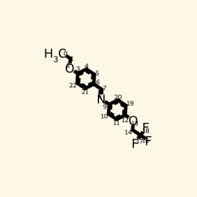 CCOc1ccc(C=Nc2ccc(OCC(F)(F)F)cc2)cc1